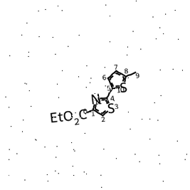 CCOC(=O)c1csc(-c2ccc(C)s2)n1